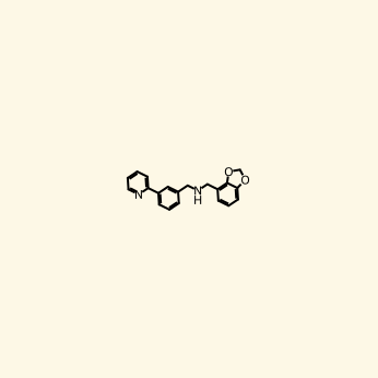 c1ccc(-c2cccc(CNCc3cccc4c3OCO4)c2)nc1